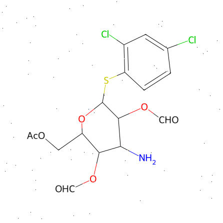 CC(=O)OCC1OC(Sc2ccc(Cl)cc2Cl)C(OC=O)C(N)C1OC=O